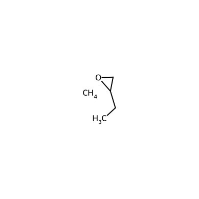 C.CCC1CO1